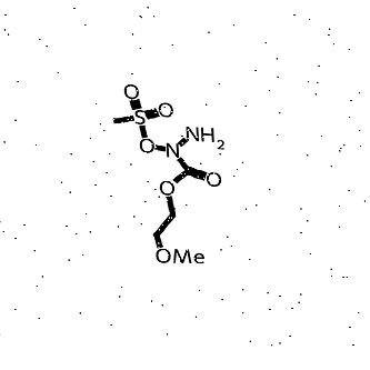 COCCOC(=O)N(N)OS(C)(=O)=O